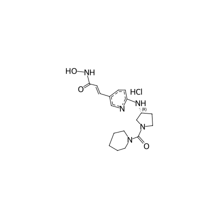 Cl.O=C(C=Cc1ccc(N[C@@H]2CCN(C(=O)N3CCCCC3)C2)nc1)NO